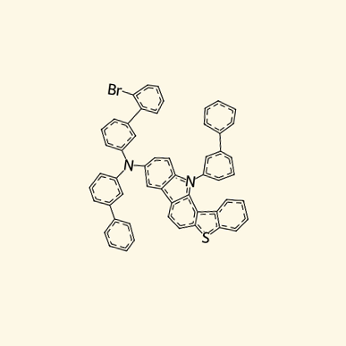 Brc1ccccc1-c1cccc(N(c2cccc(-c3ccccc3)c2)c2ccc3c(c2)c2ccc4sc5ccccc5c4c2n3-c2cccc(-c3ccccc3)c2)c1